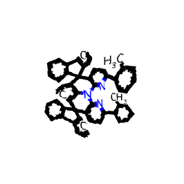 Cc1ccccc1-c1ccc2c(n1)N1c3nc(-c4ccccc4C)ccc3C3(c4ccccc4-c4ccccc43)c3cccc(c31)C21c2ccccc2-c2ccccc21